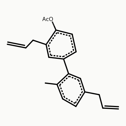 C=CCc1ccc(C)c(-c2ccc(OC(C)=O)c(CC=C)c2)c1